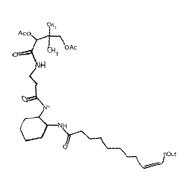 CCCCCCCC/C=C\CCCCCCCC(=O)NC1CCCCC1NC(=O)CCNC(=O)C(OC(C)=O)C(C)(C)COC(C)=O